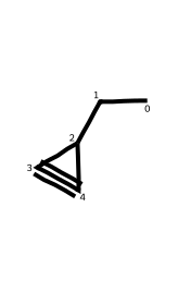 CCC1C#C1